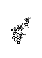 O=C(c1ccccc1)c1c2c3c(c(Nc4cc(OOSCCC5C(=O)c6ccc(S(=O)(=O)O)cc6C5=O)c(S(=O)(=O)O)cc4S(=O)(=O)O)cc(S(=O)(=O)O)c3[nH]c1=O)C(=O)c1ccccc1-2